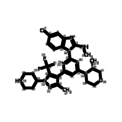 CNc1nc2cc(Cl)ccc2n1-c1nc(-c2c(C)nn(C3CCNCC3)c2C(F)(F)F)cc(N2CCOC[C@H]2C)n1